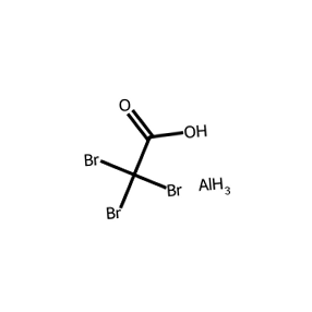 O=C(O)C(Br)(Br)Br.[AlH3]